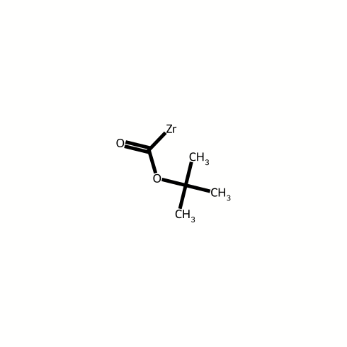 CC(C)(C)O[C](=O)[Zr]